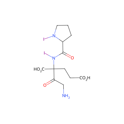 NCC(=O)C(CCC(=O)O)(C(=O)O)N(I)C(=O)C1CCCN1I